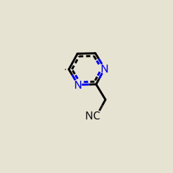 N#CCc1n[c]ccn1